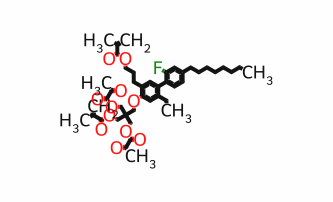 C=C(C)C(=O)OCCCc1cc(-c2ccc(CCCCCCCC)cc2F)c(CC)cc1OCC(COC(=O)C(=C)C)(COC(=O)C(C)=O)COC(=O)C(C)=O